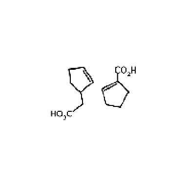 O=C(O)C1=CCCC1.O=C(O)CC1C=CCC1